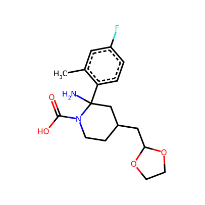 Cc1cc(F)ccc1C1(N)CC(CC2OCCO2)CCN1C(=O)O